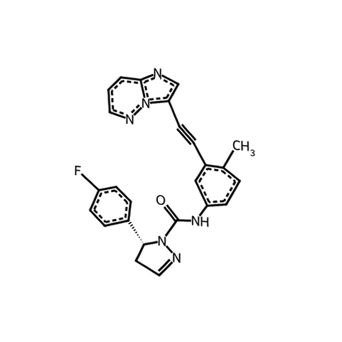 Cc1ccc(NC(=O)N2N=CC[C@@H]2c2ccc(F)cc2)cc1C#Cc1cnc2cccnn12